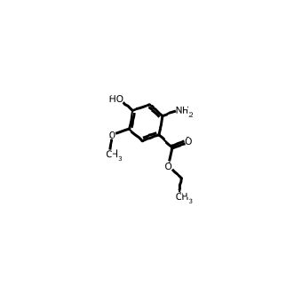 CCOC(=O)c1cc(OC)c(O)cc1N